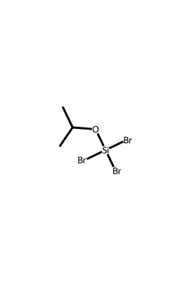 CC(C)O[Si](Br)(Br)Br